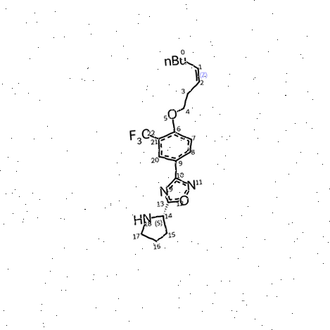 CCCC/C=C\CCOc1ccc(-c2noc([C@@H]3CCCN3)n2)cc1C(F)(F)F